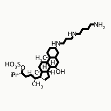 CC(C)[C@@H](CC[C@@H](C)[C@H]1CC[C@H]2[C@@H]3[C@H](O)CC4C[C@@H](NCCCNCCCCN)CC[C@]4(C)[C@H]3CC[C@]12C)OS(=O)(=O)O